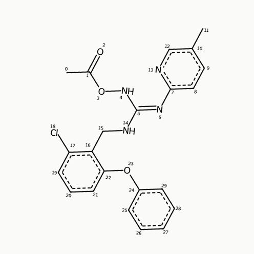 CC(=O)ONC(=Nc1ccc(C)cn1)NCc1c(Cl)cccc1Oc1ccccc1